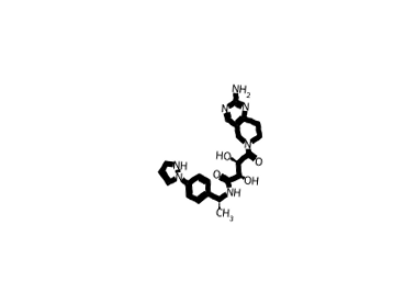 C[C@@H](NC(=O)[C@H](O)[C@@H](O)C(=O)N1CCc2nc(N)ncc2C1)c1ccc(N2C=CCN2)cc1